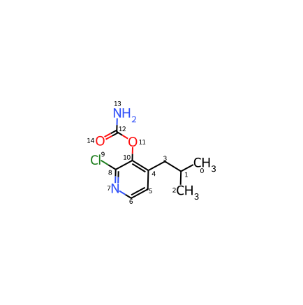 CC(C)Cc1ccnc(Cl)c1OC(N)=O